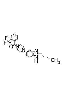 CCCCCc1nc2cc(N3CCN(C(=O)c4ccccc4C(F)(F)F)CC3)ccc2[nH]1